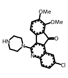 COc1ccc2c(c1OC)C(=O)c1c-2c(N2CCNCC2)nc2ccc(Cl)cc12